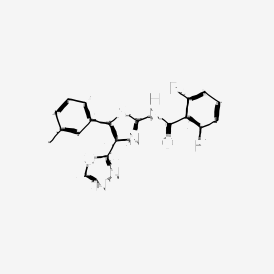 Cc1cccc(-c2sc(NC(=O)c3c(F)cccc3F)nc2-c2nnco2)c1